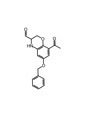 CC(=O)c1cc(OCc2ccccc2)cc2c1OCC(C=O)N2